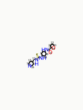 O=C(Nc1ccc(NC(=S)NCc2ccncc2)cc1)c1ccco1